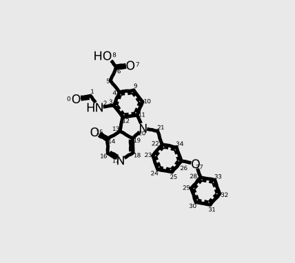 O=CNc1c(CC(=O)O)ccc2c1C1C(=O)C=NC=C1N2Cc1cccc(Oc2ccccc2)c1